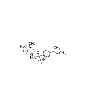 CCC(C)c1ccc(C(C)(OC(=O)OC(C)(C)C)C(F)(F)F)cc1